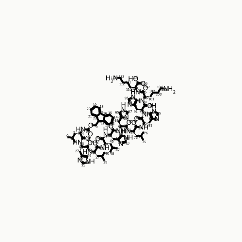 CC(C)C[C@H](NC(=O)OCC1c2ccccc2-c2ccccc21)C(=O)N[C@@H](Cc1c[nH]cn1)C(=O)N[C@@H](CC(C)C)C(=O)N[C@@H](CC(C)C)C(=O)N[C@@H](Cc1c[nH]cn1)C(=O)N[C@@H](Cc1c[nH]cn1)C(=O)N[C@@H](CC(C)C)C(=O)N[C@@H](Cc1c[nH]cn1)C(=O)N[C@@H](Cc1c[nH]cn1)C(=O)N[C@@H](CCCCN)C(=O)N[C@@H](CCCCN)C(=O)O